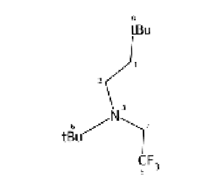 CC(C)(C)CCN(CC(F)(F)F)C(C)(C)C